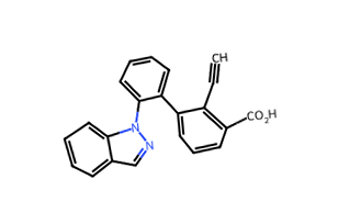 C#Cc1c(C(=O)O)cccc1-c1ccccc1-n1ncc2ccccc21